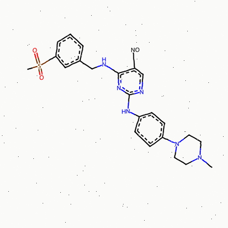 CN1CCN(c2ccc(Nc3ncc(N=O)c(NCc4cccc(S(C)(=O)=O)c4)n3)cc2)CC1